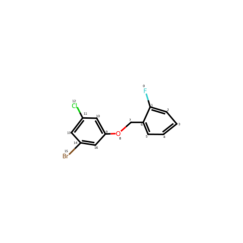 Fc1ccccc1COc1cc(Cl)cc(Br)c1